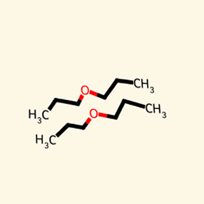 CCCOCCC.CCCOCCC